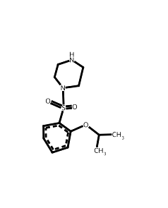 CC(C)Oc1ccccc1S(=O)(=O)N1CCNCC1